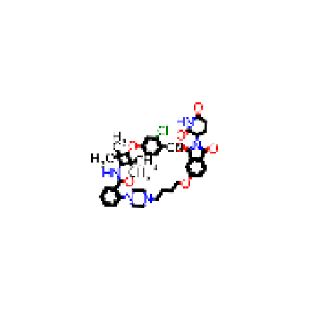 CC1(C)[C@H](NC(=O)c2ccccc2N2CCN(CCCCOc3ccc4c(c3)C(=O)N(C3CCC(=O)NC3=O)C4=O)CC2)C(C)(C)[C@H]1Oc1ccc(C#N)c(Cl)c1